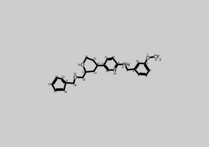 FC(F)(F)Oc1cccc(CNc2ccc(C3CCOC(COCc4ccccc4)C3)cn2)c1